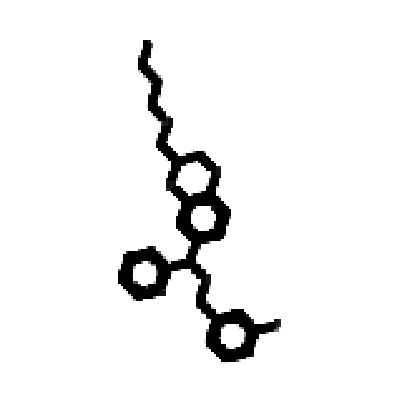 CCCCOCC1COc2ccc(C(OCc3cccc(F)c3)c3ccccn3)cc2O1